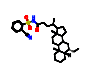 CC[C@H]1CC2C3CC[C@H]([C@H](C)CCC(=O)NS(=O)(=O)c4ccccc4C#N)[C@@]3(C)CCC2[C@@]2(C)CCCC[C@@H]12